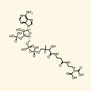 CC(C)(COP(=O)(O)OP(=O)(O)OC[C@H]1O[C@@H](n2cnc3c(N)ncnc32)[C@H](O)[C@@H]1OP(=O)(O)O)C(O)C(=O)NCCC(=O)NCC[SH](C(=O)O)C(=O)O